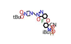 CCC(C)N(c1ccc(F)c(Oc2ccc3ncn(CCN4CCN(C(=O)OC(C)(C)C)CC4)c(=O)c3c2)c1C#N)[SH](=O)=O